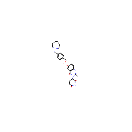 Cc1nc2ccc(OCc3ccc(CN4CCCCCC4)cc3)cc2c(=O)n1C1CCC(=O)NC1=O